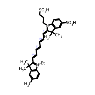 CC[N+]1=C(/C=C/C=C/C=C/C=C2/N(CCCS(=O)(=O)O)c3ccc(S(=O)(=O)O)cc3C2(C)C)C(C)(C)c2cc(C)ccc21